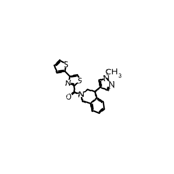 Cn1cc(C2CN(C(=O)c3nc(-c4cccs4)cs3)Cc3ccccc32)cn1